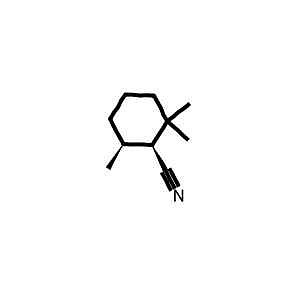 C[C@H]1CCCC(C)(C)[C@H]1C#N